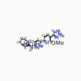 COc1nc(-c2ccc(N(C)C3CC4CCC(C3)N4C(=O)O)nn2)ccc1-c1cnn(C)n1